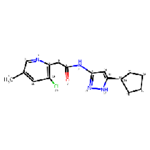 Cc1cnc(CC(=O)Nc2cc([C@H]3C[CH]CC3)[nH]n2)c(Cl)c1